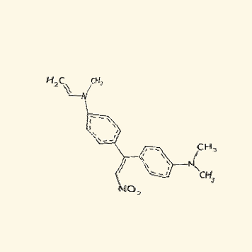 C=CN(C)c1ccc(/C(=C/[N+](=O)[O-])c2ccc(N(C)C)cc2)cc1